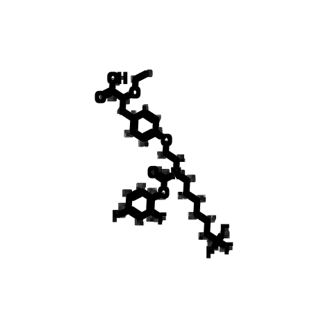 CCOC(Cc1ccc(OCCN(CCCCCCC(F)(F)F)C(=O)Oc2ccc(F)cc2F)cc1)C(=O)O